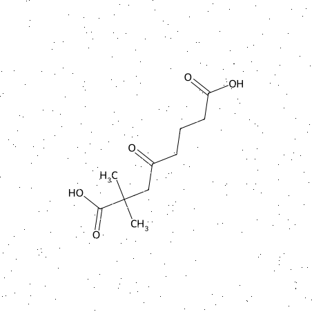 CC(C)(CC(=O)CCCC(=O)O)C(=O)O